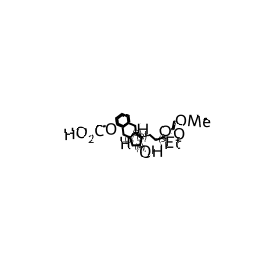 CC[C@@H](CC[C@@H]1[C@H]2Cc3cccc(OCC(=O)O)c3C[C@H]2C[C@H]1O)OC(=O)COC